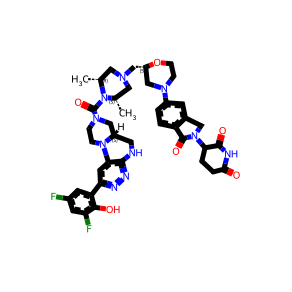 C[C@@H]1CN(C[C@H]2CN(c3ccc4c(c3)CN(C3CCC(=O)NC3=O)C4=O)CCO2)C[C@H](C)N1C(=O)N1CCN2c3cc(-c4cc(F)cc(F)c4O)nnc3NC[C@H]2C1